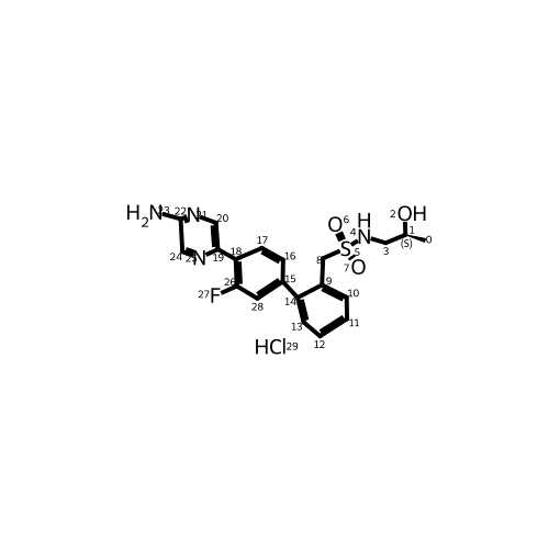 C[C@H](O)CNS(=O)(=O)Cc1ccccc1-c1ccc(-c2cnc(N)cn2)c(F)c1.Cl